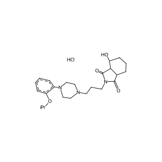 CC(C)Oc1ccccc1N1CCN(CCCN2C(=O)C3CCCC(O)C3C2=O)CC1.Cl